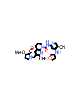 CO[C@@H]1CCN(Cc2cc3c(nc2C=O)N(C(=O)Nc2cc(N[C@@H]4CCOC4)c(C#N)cn2)CCC3)C1=C=O